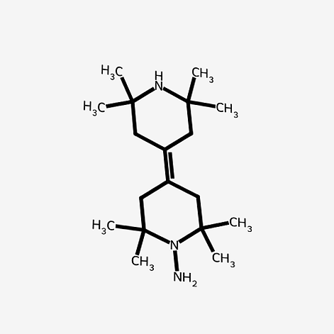 CC1(C)CC(=C2CC(C)(C)N(N)C(C)(C)C2)CC(C)(C)N1